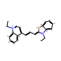 CCN1/C(=C/C=C/c2cc[n+](CC)c3ccccc23)Sc2ccccc21